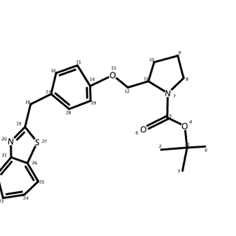 CC(C)(C)OC(=O)N1CCCC1COc1ccc(Cc2nc3ccccc3s2)cc1